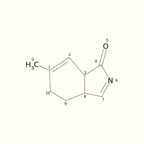 CC1=CC2C(=O)N=CC2CC1